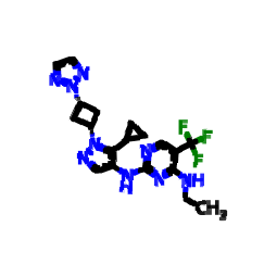 CCNc1nc(Nc2cnn([C@H]3C[C@@H](n4nccn4)C3)c2C2CC2)ncc1C(F)(F)F